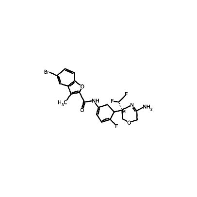 Cc1c(C(=O)NC2=CC=C(F)C([C@]3(C(F)F)COCC(N)=N3)C2)oc2ccc(Br)cc12